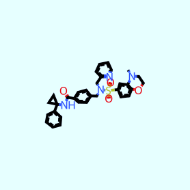 CN1CCOc2ccc(S(=O)(=O)N(Cc3ccc(C(=O)NC4(c5ccccc5)CC4)cc3)Cc3ccccn3)cc21